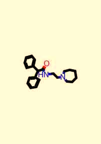 O=C(NCCN1CCCCCC1)C(c1ccccc1)c1ccccc1